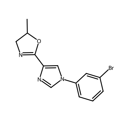 CC1CN=C(c2cn(-c3cccc(Br)c3)cn2)O1